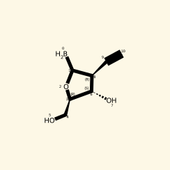 BC1O[C@H](CO)[C@@H](O)[C@@H]1C#C